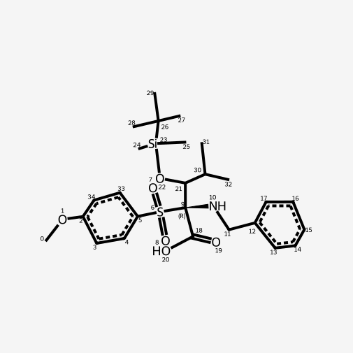 COc1ccc(S(=O)(=O)[C@@](NCc2ccccc2)(C(=O)O)C(O[Si](C)(C)C(C)(C)C)C(C)C)cc1